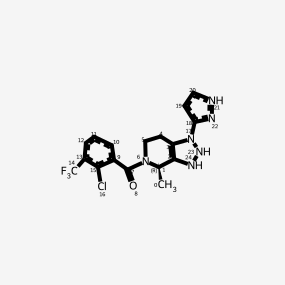 C[C@@H]1C2=C(CCN1C(=O)c1cccc(C(F)(F)F)c1Cl)N(c1cc[nH]n1)NN2